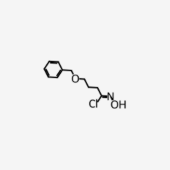 O/N=C(\Cl)CCCOCc1ccccc1